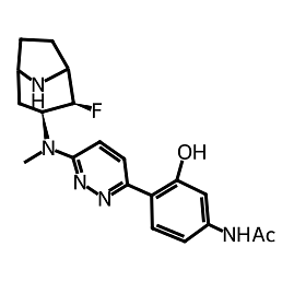 CC(=O)Nc1ccc(-c2ccc(N(C)[C@H]3CC4CCC(N4)[C@H]3F)nn2)c(O)c1